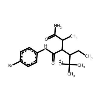 CCC(C(C(=O)Nc1ccc(Br)cc1)C(C)C(N)=O)C(C)(C)C